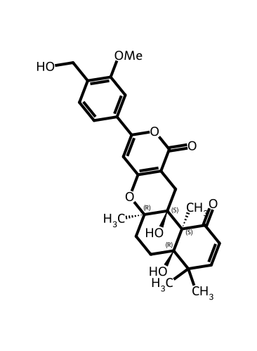 COc1cc(-c2cc3c(c(=O)o2)C[C@]2(O)[C@@]4(C)C(=O)C=CC(C)(C)[C@]4(O)CC[C@@]2(C)O3)ccc1CO